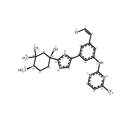 CC/C=C\c1cc(Nc2nccc(C(F)(F)F)n2)cc(-c2cnc([C@]3(O)CC[C@@H](C(=O)O)C(C)(C)C3)s2)c1